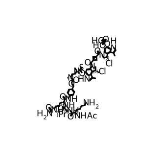 CC(=O)N[C@@H](CCCCN)C(=O)N[C@H](C(=O)N[C@@H](CCCNC(N)=O)C(=O)Nc1ccc(COC(=O)N(C)CCN(C)C(=S)Oc2cc3c(c4c(C)c[nH]c24)[C@H](CCl)CN3C(=O)C23CC(C(=O)N4C[C@@H](CCl)c5c4cc(OP(=O)(O)O)c4[nH]cc(C)c54)(C2)C3)cc1)C(C)C